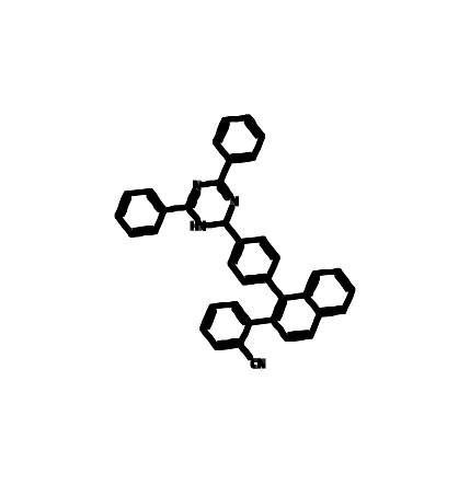 N#Cc1ccccc1-c1ccc2ccccc2c1-c1ccc(C2N=C(c3ccccc3)N=C(c3ccccc3)N2)cc1